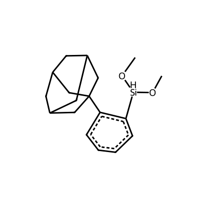 CO[SiH](OC)c1ccccc1C12CC3CC(CC(C3)C1)C2